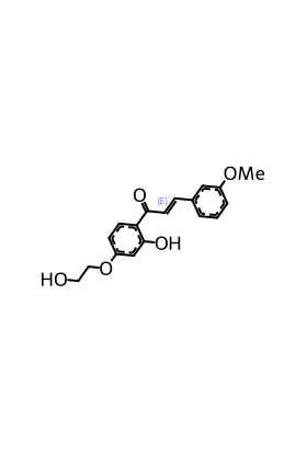 COc1cccc(/C=C/C(=O)c2ccc(OCCO)cc2O)c1